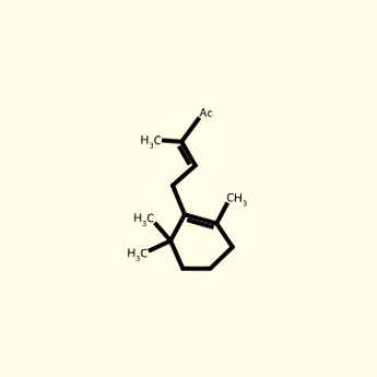 CC(=O)C(C)=CCC1=C(C)CCCC1(C)C